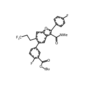 CNC(=O)c1c(-c2ccc(F)cc2)oc2cc(CCC(F)(F)F)c(-c3ccc(F)c(C(=O)OC(C)(C)C)c3)cc12